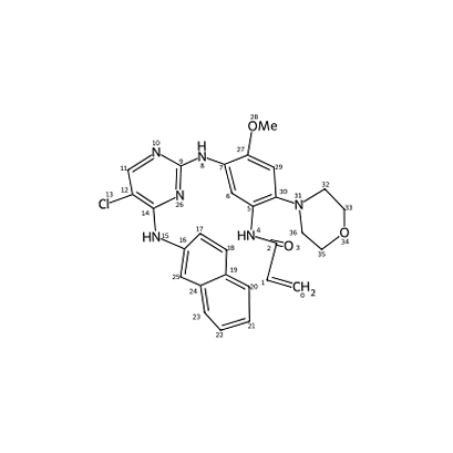 C=CC(=O)Nc1cc(Nc2ncc(Cl)c(Nc3ccc4ccccc4c3)n2)c(OC)cc1N1CCOCC1